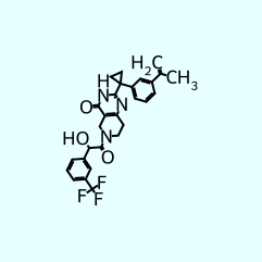 C=C(C)c1cccc(C2(c3nc4c(c(=O)[nH]3)CN(C(=O)C(O)c3cccc(C(F)(F)F)c3)CC4)CC2)c1